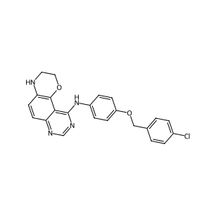 Clc1ccc(COc2ccc(Nc3ncnc4ccc5c(c34)OCCN5)cc2)cc1